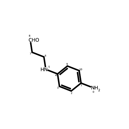 Nc1ccc(NCCC=O)cc1